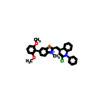 COc1cccc(OC)c1-c1ccc2c(c1)sc(C=C1C=C(Cl)N(c3ccccc3)c3ccccc31)[n+]2C